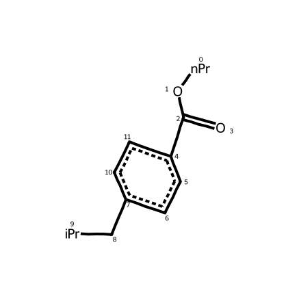 CCCOC(=O)c1ccc(CC(C)C)cc1